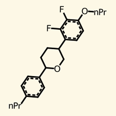 CCCOc1ccc(C2CCC(c3ccc(CCC)cc3)OC2)c(F)c1F